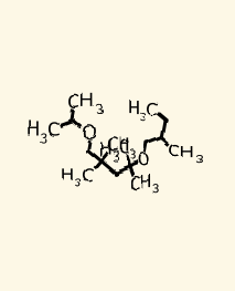 CCC(C)COC(C)(C)CC(C)(C)COC(C)C